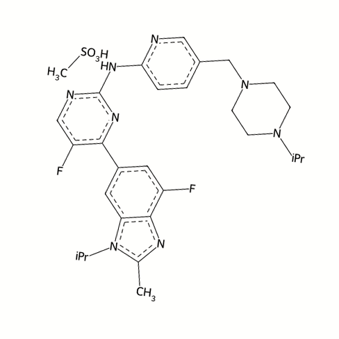 CS(=O)(=O)O.Cc1nc2c(F)cc(-c3nc(Nc4ccc(CN5CCN(C(C)C)CC5)cn4)ncc3F)cc2n1C(C)C